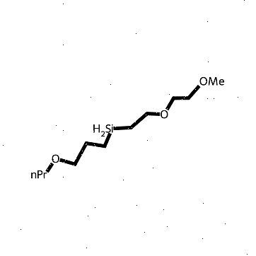 CCCOCCC[SiH2]CCOCCOC